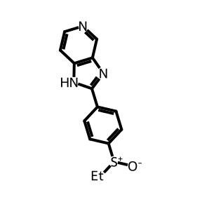 CC[S+]([O-])c1ccc(-c2nc3cnccc3[nH]2)cc1